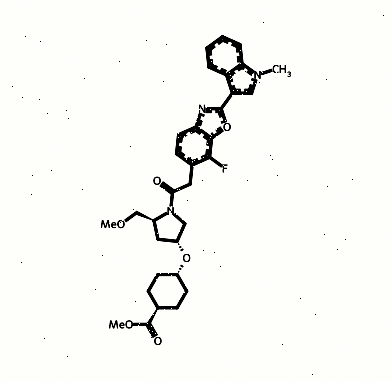 COC[C@@H]1C[C@@H](O[C@H]2CC[C@H](C(=O)OC)CC2)CN1C(=O)Cc1ccc2nc(-c3cn(C)c4ccccc34)oc2c1F